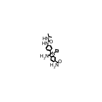 CC(C)NC(=O)Nc1ccc(-c2c(N)c3ccc(C(N)=O)cc3n2C2CCC2)cc1